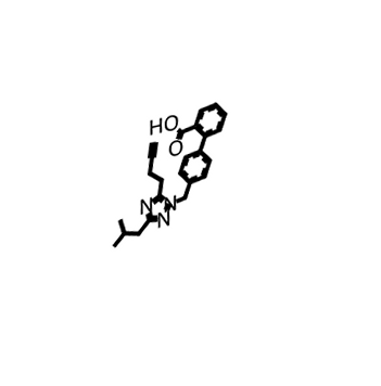 C#CCCc1nc(CC(C)C)nn1Cc1ccc(-c2ccccc2C(=O)O)cc1